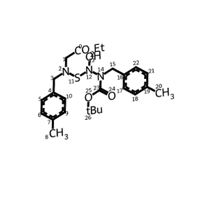 CCOC(=O)CN(Cc1ccc(C)cc1)SN(O)N(Cc1ccc(C)cc1)C(=O)OC(C)(C)C